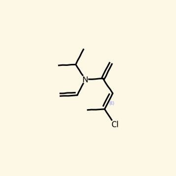 C=CN(C(=C)/C=C(\C)Cl)C(C)C